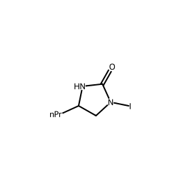 CCCC1CN(I)C(=O)N1